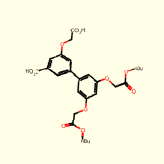 CCCCOC(=O)COc1cc(OCC(=O)OCCCC)cc(-c2cc(OCC(=O)O)cc(C(=O)O)c2)c1